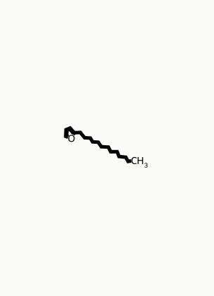 CCCCCCCCCCCCCc1ccco1